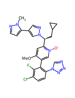 COc1cc([C@H](CC2CC2)n2cc(-c3ccnn3C)cn2)[n+]([O-])cc1-c1c(-n2cnnn2)ccc(Cl)c1F